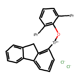 CC(C)c1cccc(C(C)C)c1[O][Ti+2][c]1cccc2c1Cc1ccccc1-2.[Cl-].[Cl-]